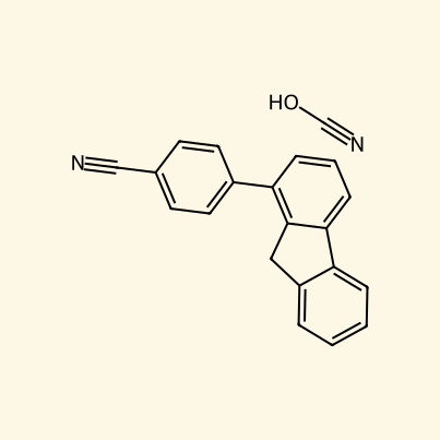 N#CO.N#Cc1ccc(-c2cccc3c2Cc2ccccc2-3)cc1